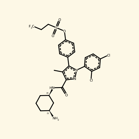 Cc1c(C(=O)N[C@@H]2CCC[C@H](N)C2)nn(-c2ccc(Cl)cc2Cl)c1-c1ccc(OS(=O)(=O)CCC(F)(F)F)cc1